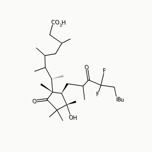 CCC(C)CC(F)(F)C(=O)C(C)C[C@@H]1[C@@](C)([C@@H](C)C(C)C(C)CC(C)CC(=O)O)C(=O)C(C)(C)[C@@]1(C)O